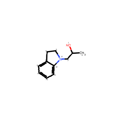 CC(O)CN1CCc2ccccc21